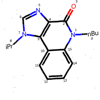 CCCCn1c(=O)c2ncn(C(C)C)c2c2ccccc21